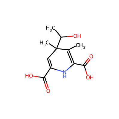 CC1=C(C(=O)O)NC(C(=O)O)=CC1(C)C(C)O